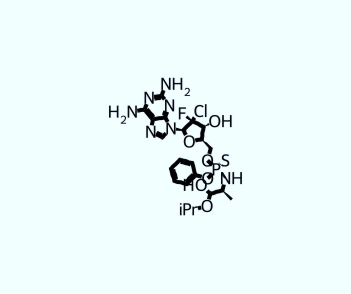 CC(C)OC(O)[C@H](C)N[P@@](=S)(OC[C@H]1O[C@@H](n2cnc3c(N)nc(N)nc32)[C@](F)(Cl)[C@@H]1O)Oc1ccccc1